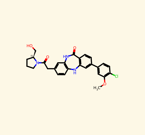 COc1cc(-c2ccc3c(c2)Nc2ccc(CC(=O)N4CCC[C@H]4CO)cc2NC3=O)ccc1Cl